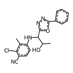 Cc1c(NC(c2nnc(-c3ccccc3)o2)C(C)O)ccc(C#N)c1Cl